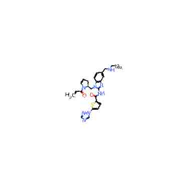 C=CC(=O)N1CCCC1Cn1c(NC(=O)c2ccc(-n3cncn3)s2)nc2cc(CNCC(C)(C)C)ccc21